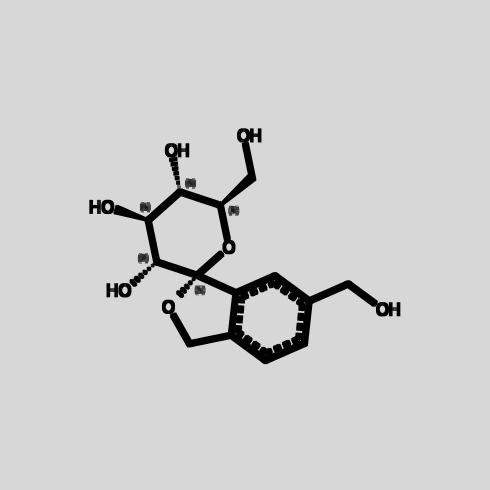 OCc1ccc2c(c1)[C@]1(OC2)O[C@H](CO)[C@@H](O)[C@H](O)[C@H]1O